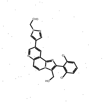 O=CCn1cc(-c2cnc3ccn4c(CO)c(-c5c(Cl)cccc5Cl)nc4c3c2)cn1